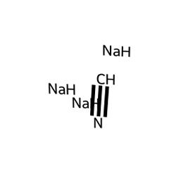 C#N.[NaH].[NaH].[NaH]